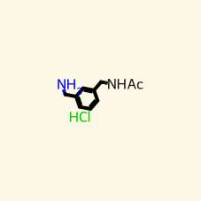 CC(=O)NCc1cccc(CN)c1.Cl